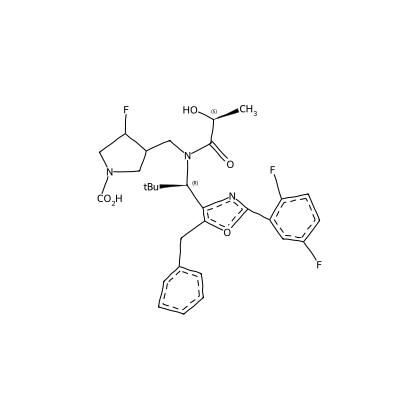 C[C@H](O)C(=O)N(CC1CN(C(=O)O)CC1F)[C@@H](c1nc(-c2cc(F)ccc2F)oc1Cc1ccccc1)C(C)(C)C